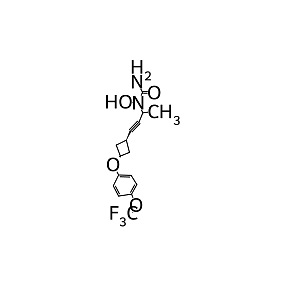 CC(C#C[C@H]1C[C@@H](Oc2ccc(OC(F)(F)F)cc2)C1)N(O)C(N)=O